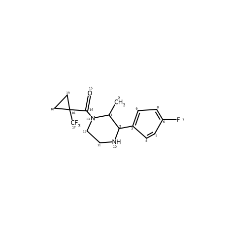 CC1C(c2ccc(F)cc2)NCCN1C(=O)C1(C(F)(F)F)CC1